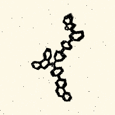 c1cc(-c2ccc(-c3ccc(N(c4ccc(-c5ccc6c(ccc7ccccc76)c5)cc4)c4cc5ccccc5c5ccccc45)cc3)cc2)cc(-c2cc3ccccc3o2)c1